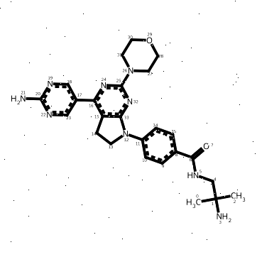 CC(C)(N)CNC(=O)c1ccc(N2CCc3c(-c4cnc(N)nc4)nc(N4CCOCC4)nc32)cc1